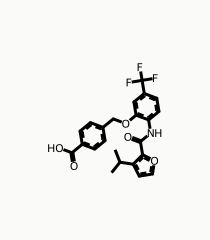 CC(C)c1ccoc1C(=O)Nc1ccc(C(F)(F)F)cc1OCc1ccc(C(=O)O)cc1